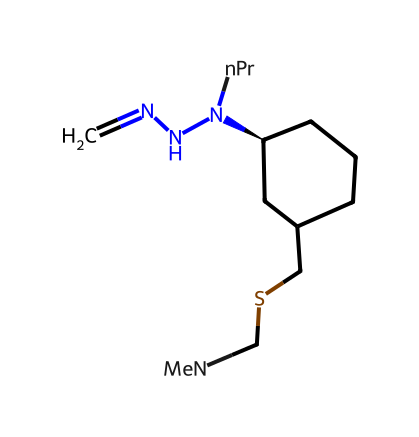 C=NNN(CCC)[C@H]1CCCC(CSCNC)C1